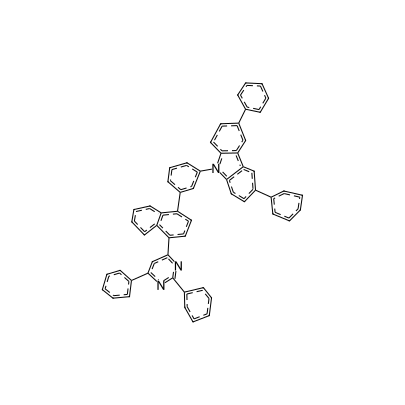 c1ccc(-c2ccc3c(c2)c2cc(-c4ccccc4)ccc2n3-c2cccc(-c3ccc(-c4cc(-c5ccccc5)nc(-c5ccccc5)n4)c4ccccc34)c2)cc1